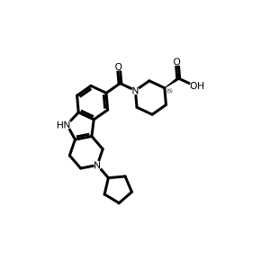 O=C(O)[C@H]1CCCN(C(=O)c2ccc3[nH]c4c(c3c2)CN(C2CCCC2)CC4)C1